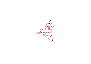 CCC(C)OC(=O)Oc1ccc(C(C(C)COC(=O)Oc2ccccc2)[C@H](N)C(=O)O)cc1OC(=O)OC(C)CC